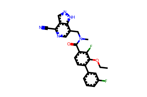 CCOc1c(-c2cccc(F)c2)ccc(C(=O)N(C)Cc2cnc(C#N)c3cn[nH]c23)c1F